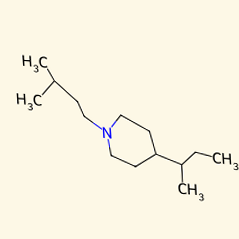 CCC(C)C1CCN(CCC(C)C)CC1